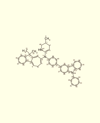 CC1CC=C(N(C2=CCC=C3C(=C2)C(C)(C)c2ccccc23)c2ccc(-c3ccc4c(c3)c3ccccc3n4-c3ccccc3)cc2)NC1